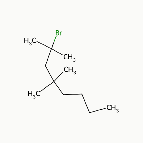 CCCCC(C)(C)CC(C)(C)Br